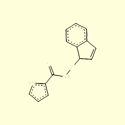 O=C([NH][Ti+2][CH]1C=Cc2ccccc21)c1ccc[nH]1.[Cl-].[Cl-]